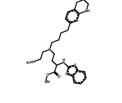 CC(=O)NCCN(CCCCc1ccc2c(n1)NCCC2)CCC(Nc1nc2ccccc2s1)C(=O)OC(C)(C)C